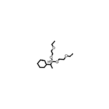 CCOCCO[SiH](OCCOCC)C(C)C1CCCCC1